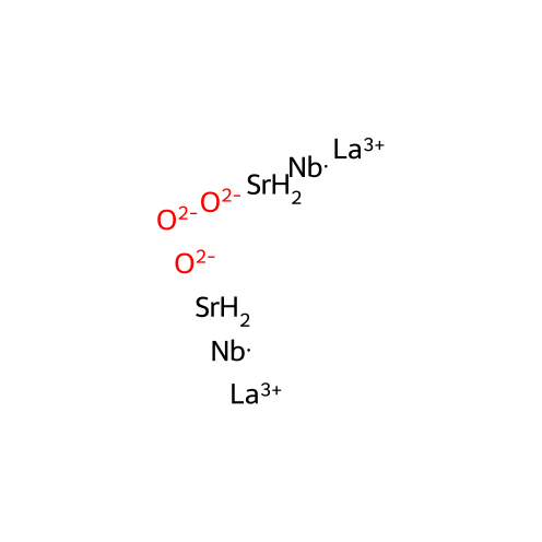 [La+3].[La+3].[Nb].[Nb].[O-2].[O-2].[O-2].[SrH2].[SrH2]